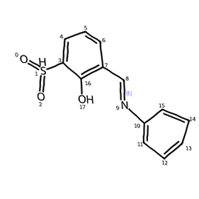 O=[SH](=O)c1cccc(/C=N/c2ccccc2)c1O